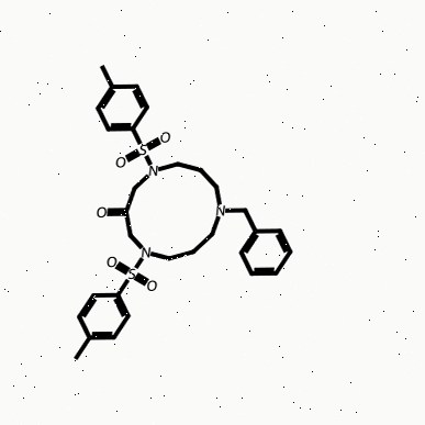 Cc1ccc(S(=O)(=O)N2CCCN(Cc3ccccc3)CCCN(S(=O)(=O)c3ccc(C)cc3)CC(=O)C2)cc1